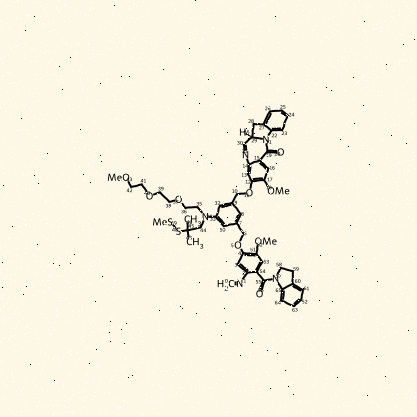 C=Nc1cc(OCc2cc(COc3cc4c(cc3OC)C(=O)N3c5ccccc5C[C@H]3C=N4)cc(N(CCOCCOCCOC)CC(C)(C)SSC)c2)c(OC)cc1C(=O)N1CCc2ccccc21